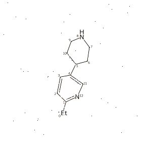 CCc1ccc(C2CCNCC2)cn1